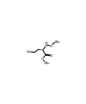 CC(C)(C)ON[C@H](CCS)C(=O)OC(C)(C)C